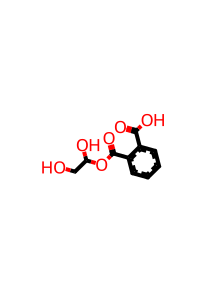 O=C(O)c1ccccc1C(=O)OC(O)CO